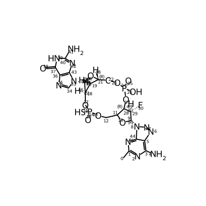 Cc1nc(N)c2nnn([C@@H]3OC4COP(=O)(S)O[C@@H]5[C@H](F)[C@@H](COP(=O)(O)O[C@H]4[C@@H]3F)O[C@H]5n3cnc4c(=O)[nH]c(N)nc43)c2n1